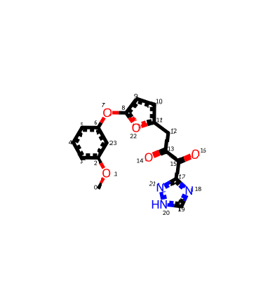 COc1cccc(Oc2ccc(CC(=O)C(=O)c3nc[nH]n3)o2)c1